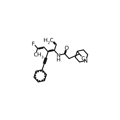 C=C/C(NC(=O)CC1CN2CCC1CC2)=C(C#Cc1ccccc1)\C=C(/C)F